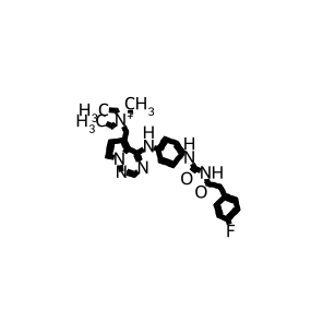 CC[N+](CC)(CC)Cc1ccn2ncnc(Nc3ccc(NC(=O)NC(=O)Cc4ccc(F)cc4)cc3)c12